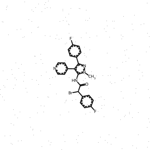 Cn1nc(-c2ccc(F)cc2)c(-c2ccncc2)c1NC(=O)C(Br)c1ccc(F)cc1